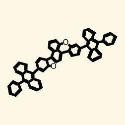 C1=CC2c3c(cc4c5c(cccc35)Oc3cc(-c5c6ccccc6c(-c6ccccc6)c6ccccc56)ccc3-4)OC2C=C1c1c2ccccc2c(-c2ccccc2)c2ccccc12